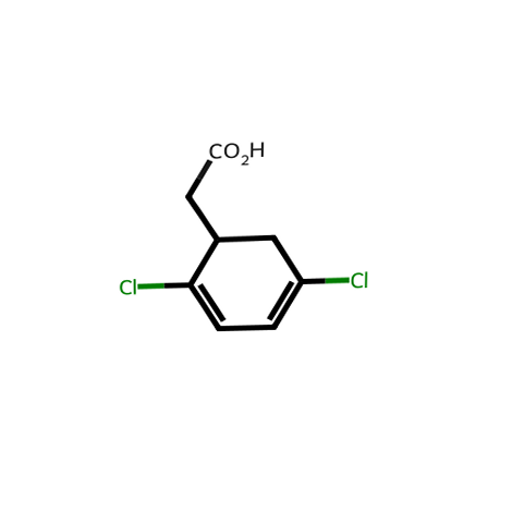 O=C(O)CC1CC(Cl)=CC=C1Cl